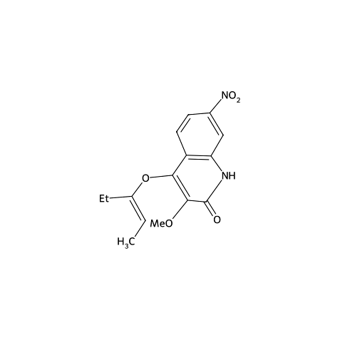 CC=C(CC)Oc1c(OC)c(=O)[nH]c2cc([N+](=O)[O-])ccc12